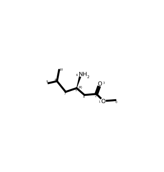 COC(=O)C[C@H](N)CC(C)C